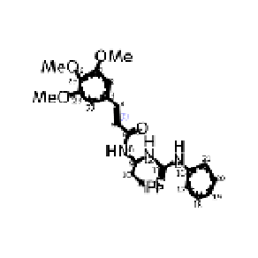 COc1cc(/C=C/C(=O)NC(CC(C)C)NC(=S)Nc2ccccc2)cc(OC)c1OC